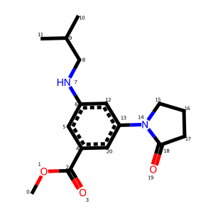 COC(=O)c1cc(NCC(C)C)cc(N2CCCC2=O)c1